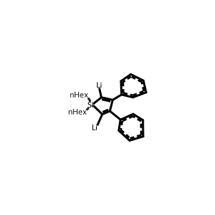 [Li][C]1=C(c2ccccc2)C(c2ccccc2)=[C]([Li])[Si]1(CCCCCC)CCCCCC